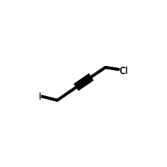 ClCC#CCI